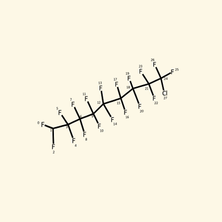 FC(F)C(F)(F)C(F)(F)C(F)(F)C(F)(F)C(F)(F)C(F)(F)C(F)(F)C(F)(F)Cl